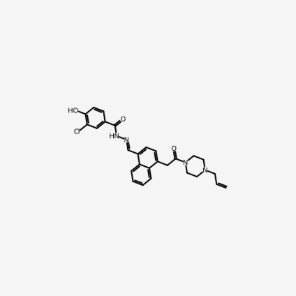 C=CCN1CCN(C(=O)Cc2ccc(/C=N/NC(=O)c3ccc(O)c(Cl)c3)c3ccccc23)CC1